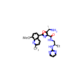 CC[C@H](CNC(=O)c1nc(-c2ccc(OC)c3nc(C(F)(F)F)ccc23)oc1[C@H](C)N)Nc1ncccn1